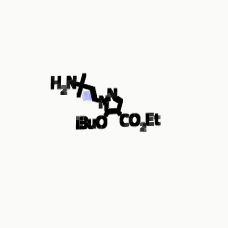 CCOC(=O)c1cnn(/C=C/C(C)(C)N)c1OCC(C)C